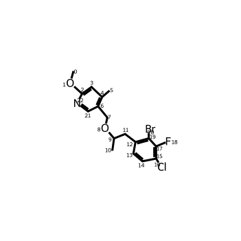 COc1cc(C)c(COC(C)Cc2ccc(Cl)c(F)c2Br)cn1